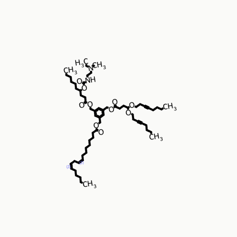 CCCCC#CCCOC(CCC(=O)OCc1cc(COC(=O)CCCCCCC/C=C\C/C=C\CCCCC)cc(COC(=O)CCC(CCCCCC)OC(=O)NCCN(C)CC)c1)OCCC#CCCCC